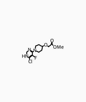 COC(=O)COC1CCN(C2=NCNC(Cl)=C2F)CC1